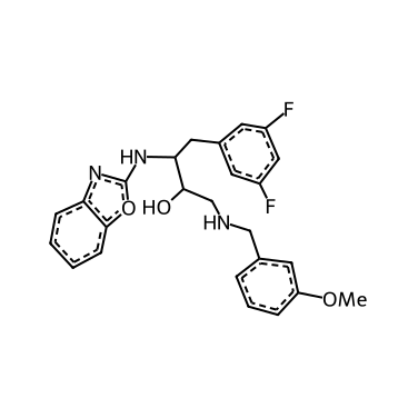 COc1cccc(CNCC(O)C(Cc2cc(F)cc(F)c2)Nc2nc3ccccc3o2)c1